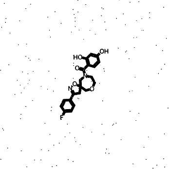 O=C(c1ccc(O)cc1O)N1CCOCC2(CC(c3ccc(F)cc3)=NO2)C1